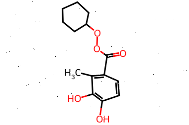 Cc1c(C(=O)OOC2CCCCC2)ccc(O)c1O